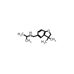 CC(C)NCc1ccc2c(c1)C(C)(C)CO2